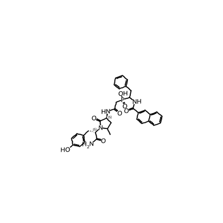 CC1C[C@H](NC(=O)CP(=O)(O)C(Cc2ccccc2)NC(=O)c2ccc3ccccc3c2)C(=O)N1[C@@H](Cc1ccc(O)cc1)C(N)=O